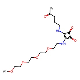 CC(C)OCCOCCOCCOCCNc1c(NCCCC(=O)C(C)C)c(=O)c1=O